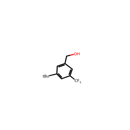 CC(C)(C)c1cc(CO)cc(C(F)(F)F)c1